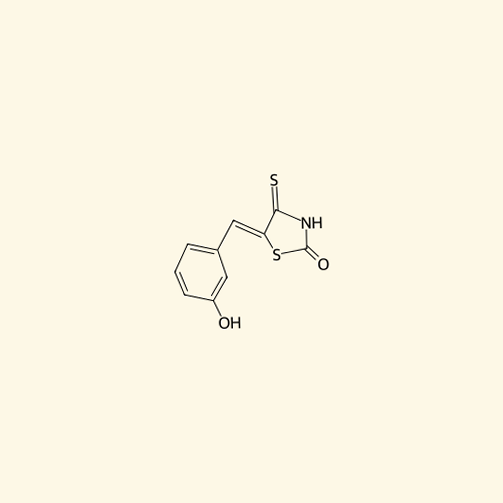 O=C1NC(=S)C(=Cc2cccc(O)c2)S1